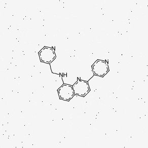 c1cncc(CNc2cccc3ccc(-c4ccncc4)nc23)c1